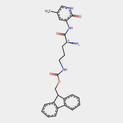 Cc1c[nH]c(=O)c(NC(=O)[C@@H](N)CCCNC(=O)OCC2c3ccccc3-c3ccccc32)c1